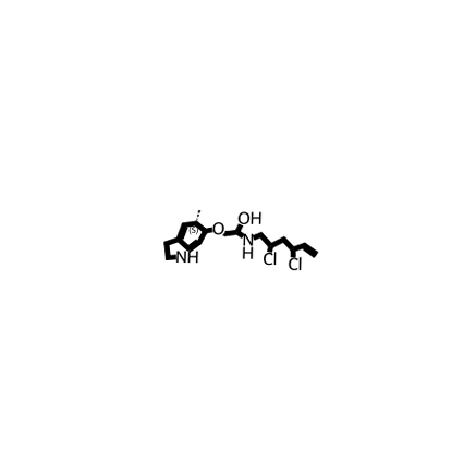 C=CC(Cl)CC(Cl)CNC(O)COC1C=C2NCCC2=C[C@@H]1C